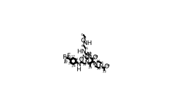 CCONCCNc1nc2n(CC(=O)Nc3ccc(C(F)(F)F)cc3)c(C)c(N3CCN(C(C)=O)CC3)c(=O)n2n1